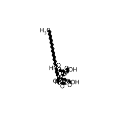 CCCCCCCCCCCCCCCCCC(=O)NCCCC[C@@H](C(=O)O)N(CCN(CC(=O)O)CC(=O)O)CCN(CC(=O)O)CC(=O)O